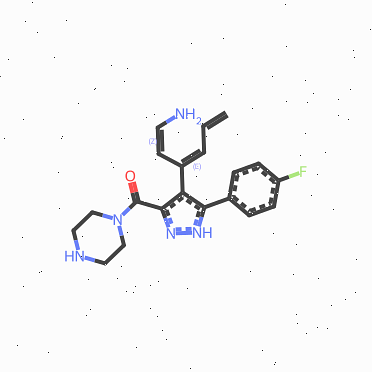 C=C/C=C(\C=C/N)c1c(C(=O)N2CCNCC2)n[nH]c1-c1ccc(F)cc1